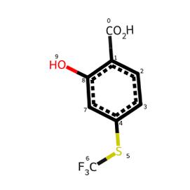 O=C(O)c1ccc(SC(F)(F)F)cc1O